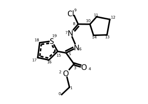 CCOC(=O)/C(=N/N=C(/Cl)C1CCCC1)c1cccs1